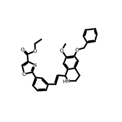 CCOC(=O)c1coc(-c2cccc(C=CC3NCCc4cc(OCc5ccccc5)c(OC)cc43)c2)n1